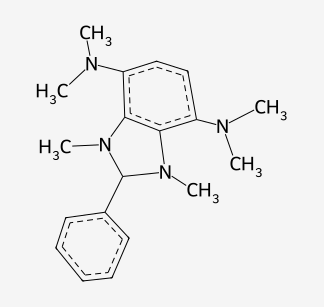 CN(C)c1ccc(N(C)C)c2c1N(C)C(c1ccccc1)N2C